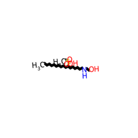 CCCCCCCCCCCCCCCCCCNCCO.CCS(=O)(=O)O